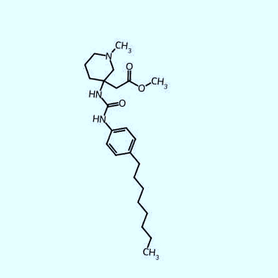 CCCCCCCCc1ccc(NC(=O)NC2(CC(=O)OC)CCCN(C)C2)cc1